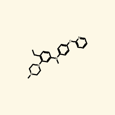 CCc1ccc(N(C)c2ccc(Oc3ccccn3)cc2)cc1N1CCN(C)CC1